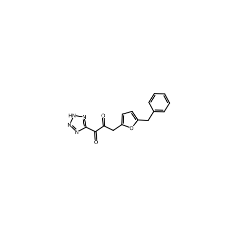 O=C(Cc1ccc(Cc2ccccc2)o1)C(=O)c1nn[nH]n1